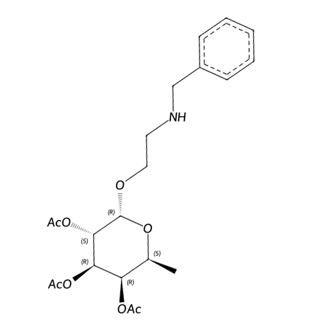 CC(=O)O[C@H]1[C@H](OC(C)=O)[C@H](OCCNCc2ccccc2)O[C@@H](C)[C@H]1OC(C)=O